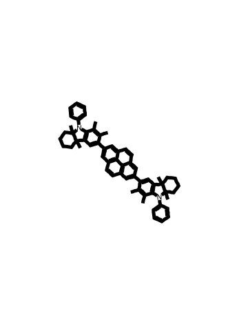 Cc1c(-c2cc3ccc4cc(-c5cc6c(c(C)c5C)N(c5ccccc5)C5(C)CCCCC65C)cc5ccc(c2)c3c45)cc2c(c1C)N(c1ccccc1)C1(C)CCCCC21C